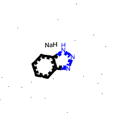 [NaH].c1ccc2[nH]nnc2c1